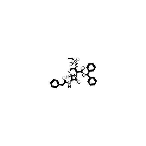 CCS(=O)(=O)OC1=C(C(=O)OC(c2ccccc2)c2ccccc2)N2C(=O)C(NC(=O)Cc3ccccc3)[C@H]2SC1